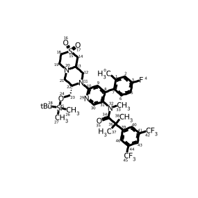 Cc1cc(F)ccc1-c1cc(N2CC3CS(=O)(=O)CCN3C[C@H]2CO[Si](C)(C)C(C)(C)C)ncc1N(C)C(=O)C(C)(C)c1cc(C(F)(F)F)cc(C(F)(F)F)c1